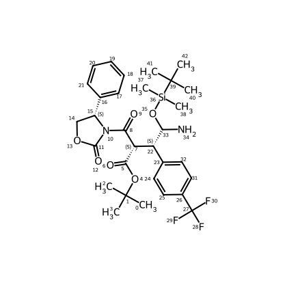 CC(C)(C)OC(=O)[C@H](C(=O)N1C(=O)OC[C@@H]1c1ccccc1)[C@@H](c1ccc(C(F)(F)F)cc1)C(N)O[Si](C)(C)C(C)(C)C